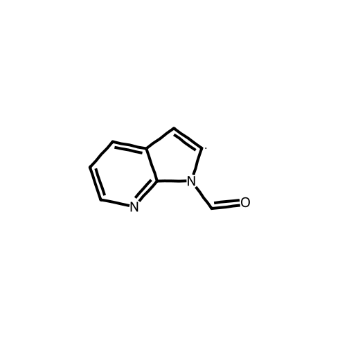 O=Cn1[c]cc2cccnc21